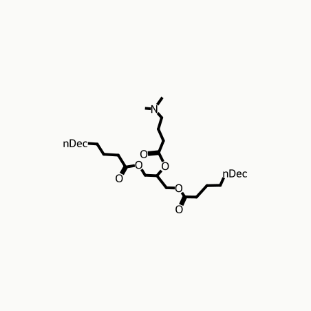 CCCCCCCCCCCCCC(=O)OCC(COC(=O)CCCCCCCCCCCCC)OC(=O)CCCN(C)C